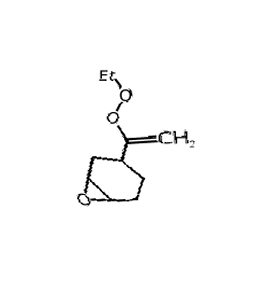 C=C(OOCC)C1CCC2OC2C1